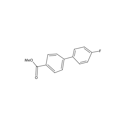 COC(=O)c1ccc(-c2ccc(F)cc2)cc1